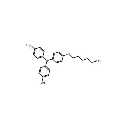 CCCCCCOc1ccc(N(c2ccc(N)cc2)c2ccc(O)cc2)cc1